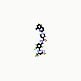 Cc1cccc2ccc(N3CCC(C(=O)NCc4ccc(Cl)c(-c5nc(C(F)(F)F)cc(=O)[nH]5)c4F)CC3)nc12